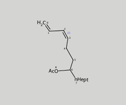 C=C/C=C\CCC(CCCCCCC)OC(C)=O